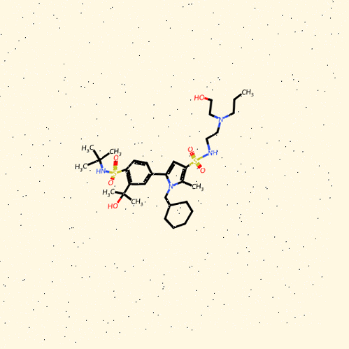 CCCN(CCO)CCNS(=O)(=O)c1cc(-c2ccc(S(=O)(=O)NC(C)(C)C)c(C(C)(C)O)c2)n(CC2CCCCC2)c1C